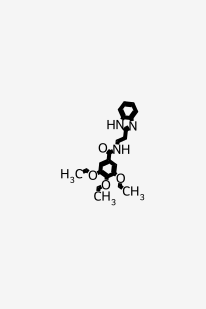 CCOc1cc(C(=O)NCCc2nc3ccccc3[nH]2)cc(OCC)c1OCC